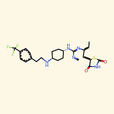 C=N\C(=N/C(=C\C)/C=C1\SC(=O)NC1=O)N[C@H]1CC[C@H](NCCc2ccc(C(F)(F)F)cc2)CC1